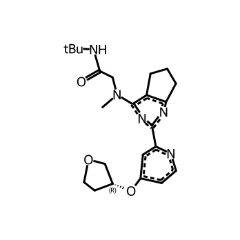 CN(CC(=O)NC(C)(C)C)c1nc(-c2cc(O[C@@H]3CCOC3)ccn2)nc2c1CCC2